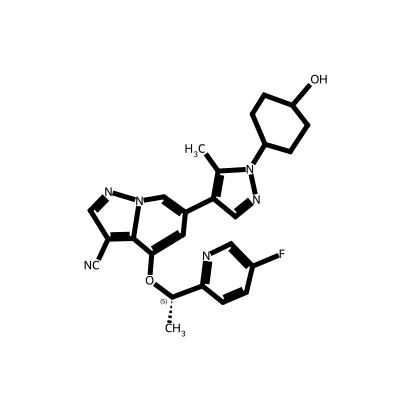 Cc1c(-c2cc(O[C@@H](C)c3ccc(F)cn3)c3c(C#N)cnn3c2)cnn1C1CCC(O)CC1